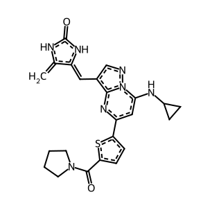 C=c1[nH]c(=O)[nH]/c1=C\c1cnn2c(NC3CC3)cc(-c3ccc(C(=O)N4CCCC4)s3)nc12